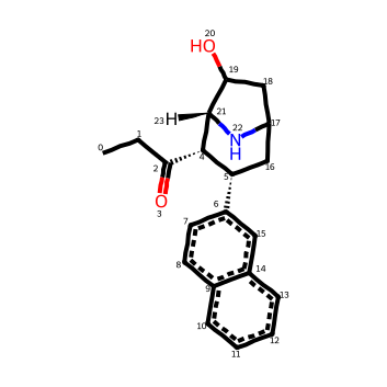 CCC(=O)[C@H]1[C@@H](c2ccc3ccccc3c2)CC2CC(O)[C@@H]1N2